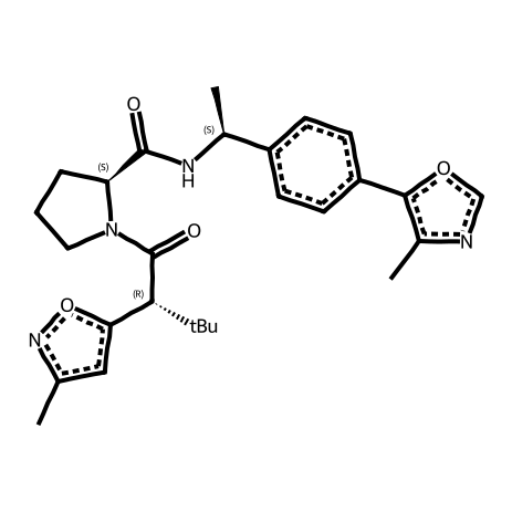 Cc1cc([C@H](C(=O)N2CCC[C@H]2C(=O)N[C@@H](C)c2ccc(-c3ocnc3C)cc2)C(C)(C)C)on1